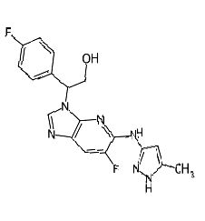 Cc1cc(Nc2nc3c(cc2F)ncn3C(CO)c2ccc(F)cc2)n[nH]1